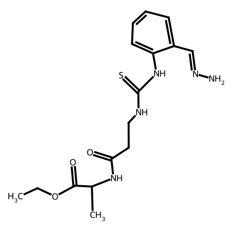 CCOC(=O)C(C)NC(=O)CCNC(=S)Nc1ccccc1C=NN